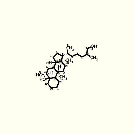 CC(CO)CCCC(C)[C@H]1CC[C@H]2[C@@H]3C[C@@H](O)[C@@]4(O)CCCC[C@]4(C)[C@H]3CC[C@]12C